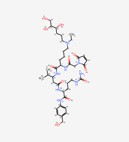 CCN(CCCCC(NC(=O)CN1C(=O)C=CC1=O)C(=O)NC(CC(=O)N[C@@H](CCCNC(N)=O)C(=O)Nc1ccc(CO)cc1)C(C)C)CCC[C@H](O)C(O)CO